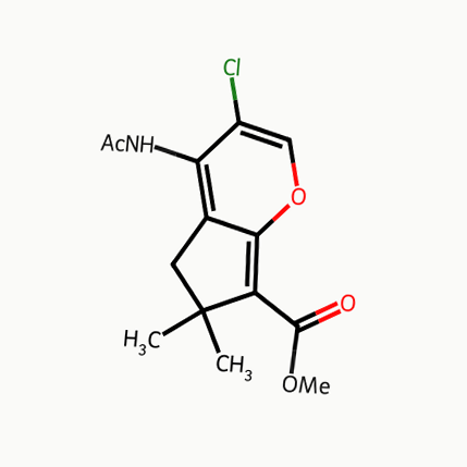 COC(=O)C1=C2OC=C(Cl)C(NC(C)=O)=C2CC1(C)C